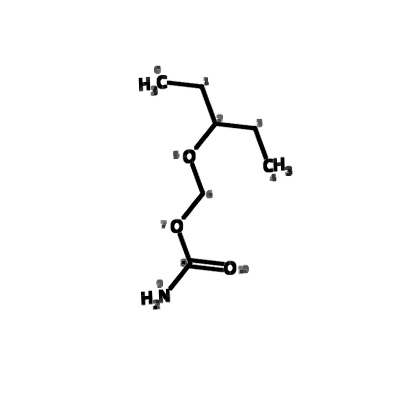 CCC(CC)OCOC(N)=O